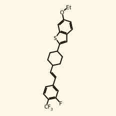 CCOc1ccc2cc(C3CCC(/C=C/c4ccc(C(F)(F)F)c(F)c4)CC3)sc2c1